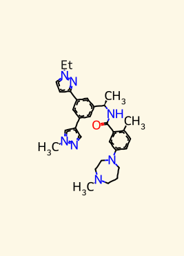 CCn1ccc(-c2cc(-c3cnn(C)c3)cc([C@@H](C)NC(=O)c3cc(N4CCCN(C)CC4)ccc3C)c2)n1